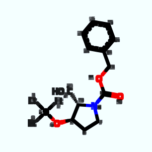 CC[Si](CC)(CC)O[C@@H]1CCN(C(=O)OCc2ccccc2)[C@H]1C(=O)O